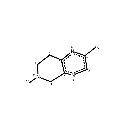 Cc1cnc2c(n1)CCN(C)C2